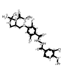 CC(C)Oc1ncc(C(=O)NNC(=O)c2cc(F)c(OCC3COC(C)(C)N3C(=O)OC(C)(C)C)cc2Cl)cc1Cl